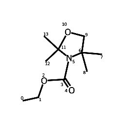 CCOC(=O)N1C(C)(C)COC1(C)C